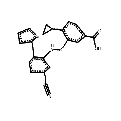 N#Cc1ccc(-c2cccs2)c(NSc2cc(C(=O)O)ccc2C2CC2)c1